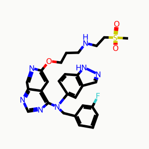 CS(=O)(=O)CCNCCCOc1cc2c(N(Cc3cccc(F)c3)c3ccc4[nH]ncc4c3)ncnc2cn1